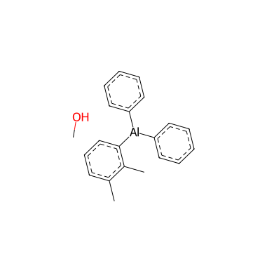 CO.Cc1ccc[c]([Al]([c]2ccccc2)[c]2ccccc2)c1C